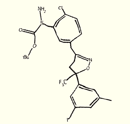 Cc1cc(I)cc(C2(C(F)(F)F)CC(c3ccc(Cl)c(N(N)C(=O)OC(C)(C)C)c3)=NO2)c1